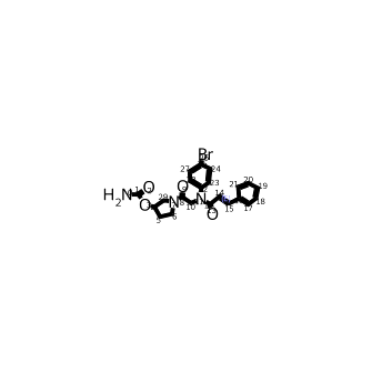 NC(=O)OC1CCN(C(=O)CN(C(=O)/C=C/c2ccccc2)c2ccc(Br)cc2)C1